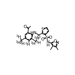 [2H]c1c(C([2H])([2H])[2H])cc(C(C)=O)c(NC(=O)c2sccc2S(=O)(=O)Nc2onc(C)c2C)c1C([2H])([2H])[2H]